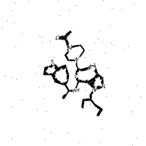 CCC(CC)n1ncc2nc(N3CCN(C(C)=O)CC3)nc(NC(C)c3ccc4sccc4c3)c21